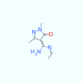 C/C=N\C(N)=C1/C(=O)N(C)N=C1C